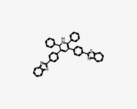 C1=C(c2ccc(-c3nc4ccccc4s3)cc2)C(c2ccccc2)NC(c2ccccc2)=C1c1ccc(-c2nc3ccccc3s2)cc1